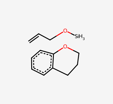 C=CCO[SiH3].c1ccc2c(c1)CCCO2